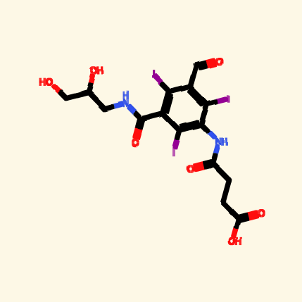 O=[C]c1c(I)c(NC(=O)CCC(=O)O)c(I)c(C(=O)NCC(O)CO)c1I